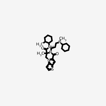 CC1CCCCC1NC(=O)C1(C)Cn2c(cc3sccc32)C(=O)N1CCCN(C)C1CCCCC1